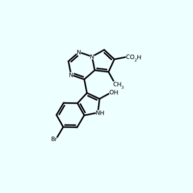 Cc1c(C(=O)O)cn2ncnc(-c3c(O)[nH]c4cc(Br)ccc34)c12